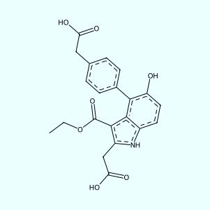 CCOC(=O)c1c(CC(=O)O)[nH]c2ccc(O)c(-c3ccc(CC(=O)O)cc3)c12